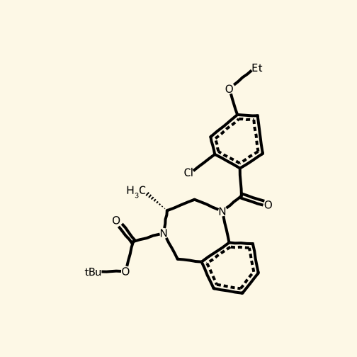 CCOc1ccc(C(=O)N2C[C@@H](C)N(C(=O)OC(C)(C)C)Cc3ccccc32)c(Cl)c1